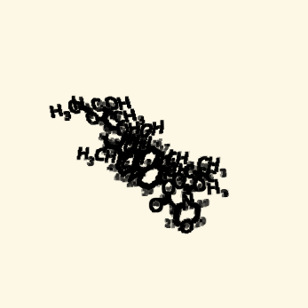 CCO[C@@H]([C@H]1C[C@@H](C)[C@H]2[C@H](O1)[C@H](O)[C@@]1(C)[C@@H]3CC[C@H]4C(C)(C)[C@@H](OC(=O)[C@@H]5COCCN5C(=O)OC(C)(C)C)CCC45C[C@@]35CC[C@]21C)C(C)(C)O